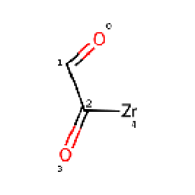 O=C[C](=O)[Zr]